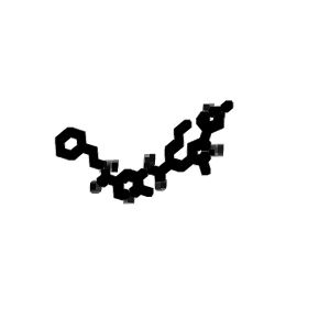 CC/C=C/C(=C\c1cc(-c2cnn(C)c2)[nH]c1C)C(=O)Nc1cc(C(=O)NCCC2CCCCC2)cnc1C